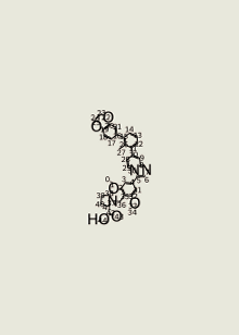 COc1cc(-c2cnc3cc(-c4cccc(-c5ccc6c(c5)OCCO6)c4C)ccn23)cc(OC)c1CN1CCC[C@H]1C(=O)O